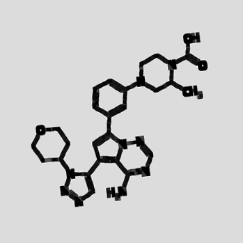 CC1CN(c2cccc(-c3cc(-c4cnnn4C4CCOCC4)c4c(N)ncnn34)c2)CCN1C(=O)O